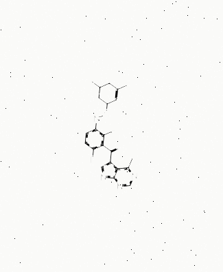 CC1=CC(SNc2ccc(F)c(C(=O)c3c[nH]c4ncnc(C)c34)c2F)CC(C)C1